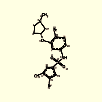 CN1CC[C@@H](Oc2cc(NS(=O)(=O)c3cc(Br)c(Cl)s3)ccc2Br)C1